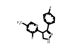 Fc1ccc(C2=NNCC2c2ncc(C(F)(F)F)cc2F)cc1